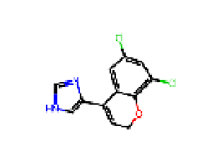 Clc1cc(Cl)c2c(c1)C(c1c[nH]cn1)=CCO2